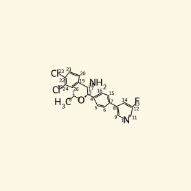 CCO[C@H](c1ccc(-c2cncc(F)c2)cc1)[C@@H](N)c1ccc(Cl)c(Cl)c1